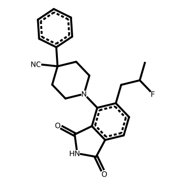 CC(F)Cc1ccc2c(c1N1CCC(C#N)(c3ccccc3)CC1)C(=O)NC2=O